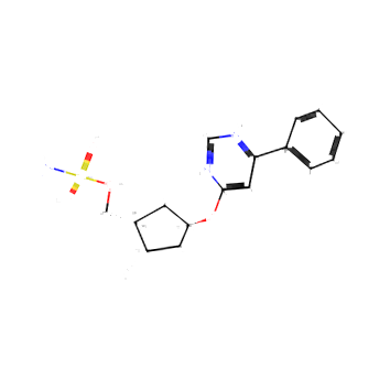 C[C@H]1C[C@H](Oc2cc(-c3ccccc3)ncn2)C[C@H]1COS(N)(=O)=O